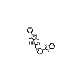 Cc1nn(-c2ccccc2)c(C)c1NC(=O)CN1CCCC(c2nc3ccccc3s2)C1